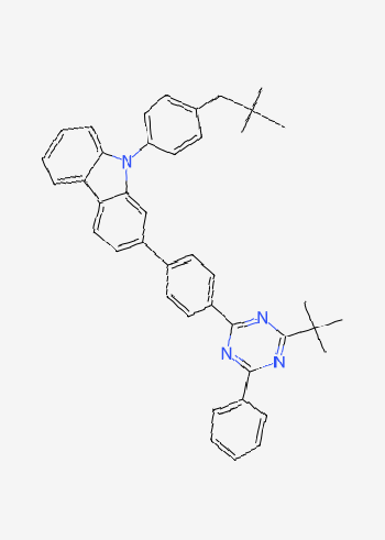 CC(C)(C)Cc1ccc(-n2c3ccccc3c3ccc(-c4ccc(-c5nc(-c6ccccc6)nc(C(C)(C)C)n5)cc4)cc32)cc1